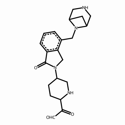 O=CC(=O)C1CCC(N2Cc3c(CN4C5CNCC4C5)cccc3C2=O)CN1